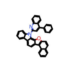 c1ccc(-c2cc(-n3c4ccccc4c4ccc5c(oc6ccc7ccccc7c65)c43)nc3ccccc23)cc1